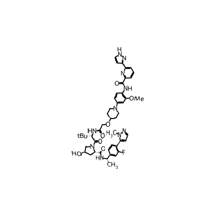 COc1cc(N2CCC(OCC(=O)N[C@H](C(=O)N3C[C@H](O)C[C@H]3C(=O)N[C@@H](C)c3ccc(-c4ccnn4C)c(F)c3)C(C)(C)C)CC2)ccc1NC(=O)c1cccc(-c2cc[nH]n2)n1